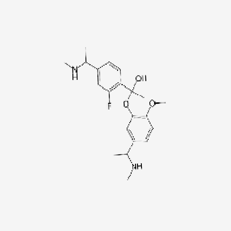 CNC(C)c1ccc(C(C)(O)Oc2cc(C(C)NC)ccc2OC)c(F)c1